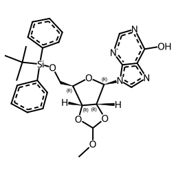 COC1O[C@@H]2[C@H](O1)[C@@H](CO[Si](c1ccccc1)(c1ccccc1)C(C)(C)C)O[C@H]2n1cnc2c(O)ncnc21